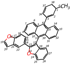 CC1C=C(c2c3ccccc3c(-c3c(-c4ccc5occc5c4)oc4ccccc34)c3ccccc23)C=CC1